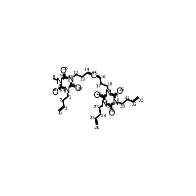 C=CCCn1c(=O)n(C)c(=O)n(CCC=C=CCCn2c(=O)n(CCC=C)c(=O)n(CCC=C)c2=O)c1=O